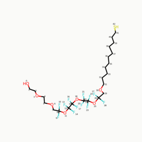 OCCOCCOCC(F)(F)OC(F)(F)C(F)(F)OC(F)(F)C(F)(F)OC(F)(F)COCCCCCCCCCCCS